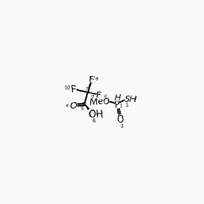 CO[PH](=O)S.O=C(O)C(F)(F)F